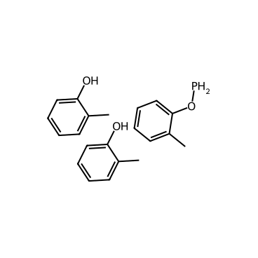 Cc1ccccc1O.Cc1ccccc1O.Cc1ccccc1OP